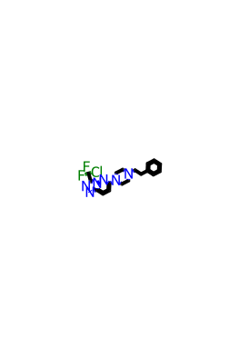 FC(F)(Cl)c1nnc2ccc(N3CCN(CCc4ccccc4)CC3)nn12